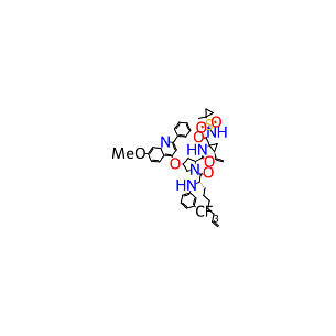 C=CCCCCC[C@H](Nc1cccc(C(F)(F)F)c1)C(=O)N1C[C@H](Oc2cc(-c3ccccc3)nc3cc(OC)ccc23)C[C@H]1C(=O)N[C@]1(C(=O)NS(=O)(=O)C2(C)CC2)C[C@H]1C=C